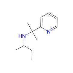 CCC(C)NC(C)(C)c1ccccn1